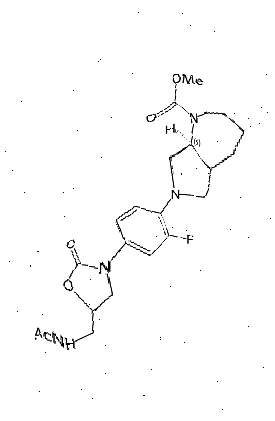 COC(=O)N1CCCC2CN(c3ccc(N4CC(CNC(C)=O)OC4=O)cc3F)C[C@H]21